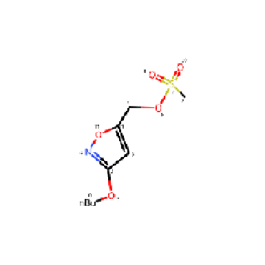 CCCCOc1cc(COS(C)(=O)=O)on1